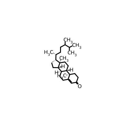 CC(C)C(C)CC[C@@H](C)[C@H]1CC[C@H]2[C@@H]3CCC4=CC(=O)CC[C@]4(C)[C@H]3CC[C@]12C